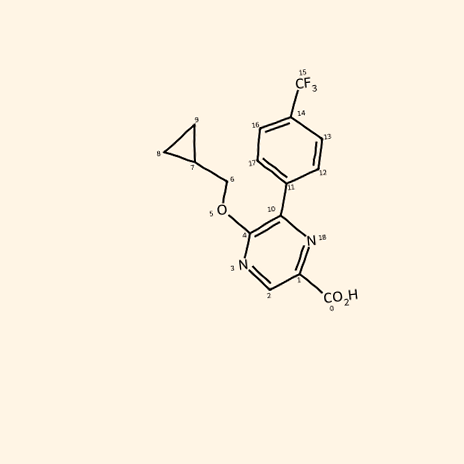 O=C(O)c1cnc(OCC2CC2)c(-c2ccc(C(F)(F)F)cc2)n1